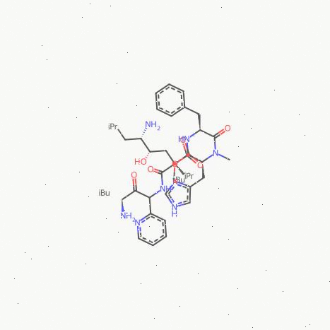 CC[C@H](C)[C@H](N)C(=O)C(NC(=O)[C@](C[C@H](O)[C@@H](N)CC(C)C)(C(=O)[C@H](Cc1c[nH]cn1)N(C)C(=O)[C@H](Cc1ccccc1)NC(=O)OC(C)(C)C)C(C)C)c1ccccn1